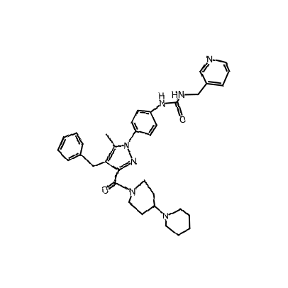 Cc1c(Cc2ccccc2)c(C(=O)N2CCC(N3CCCCC3)CC2)nn1-c1ccc(NC(=O)NCc2cccnc2)cc1